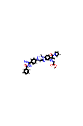 COC(=O)CNC(C)(C(=O)N1CCCC1)c1ccc2c(c1)nc(CNc1ccc(C(=N)NC(=O)c3ccccc3)cc1)n2C